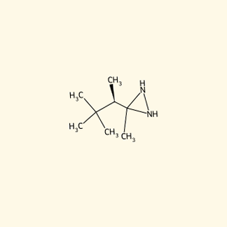 C[C@H](C(C)(C)C)C1(C)NN1